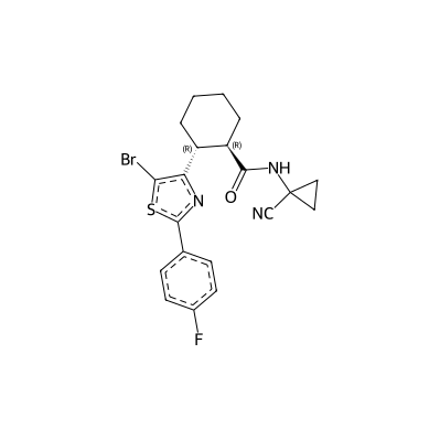 N#CC1(NC(=O)[C@@H]2CCCC[C@H]2c2nc(-c3ccc(F)cc3)sc2Br)CC1